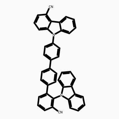 N#Cc1cccc(-c2ccc(-c3ccc(-n4c5ccccc5c5c(C#N)cccc54)cc3)cc2)c1-n1c2ccccc2c2ccccc21